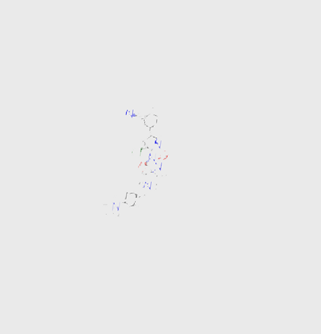 CCN(C(=O)N(C)c1ncc(-c2cccc(C#N)c2)cc1Cl)C1(C=O)CCN(Cc2ccc(N3CCCC3)cc2)CC1